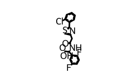 O=C(Cc1csc(-c2ccccc2Cl)n1)NC(C(=O)O)c1cc(F)ccc1F